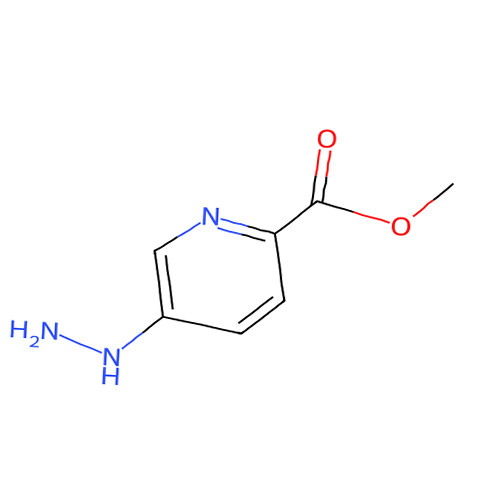 COC(=O)c1ccc(NN)cn1